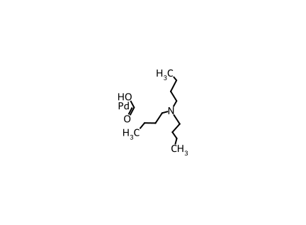 CCCCN(CCCC)CCCC.O=CO.[Pd]